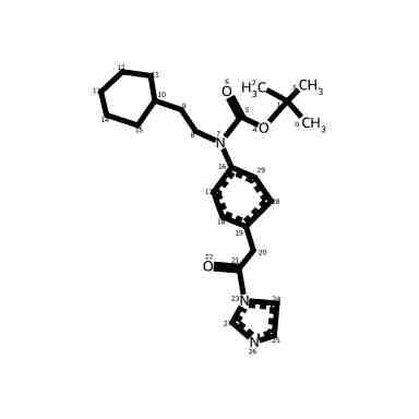 CC(C)(C)OC(=O)N(CCC1CCCCC1)c1ccc(CC(=O)n2ccnc2)cc1